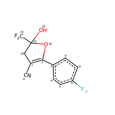 N#CC1=C(c2ccc(F)cc2)OC(O)(C(F)(F)F)C1